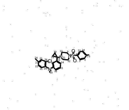 Cc1ccc(S(=O)(=O)N2CCN(C3(c4cccc(N(C)c5ccc(C)cc5Cl)c4)CC3)CC2)cc1